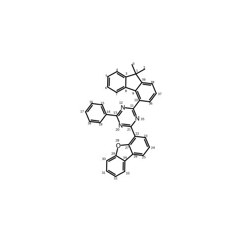 CC1(C)c2ccccc2-c2c(-c3nc(-c4ccccc4)nc(-c4cccc5c4oc4ccccc45)n3)cccc21